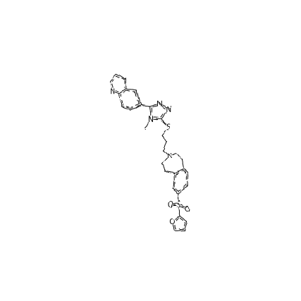 Cn1c(SCCCN2CCc3ccc(S(=O)(=O)c4ccco4)cc3CC2)nnc1-c1ccc2ncccc2c1